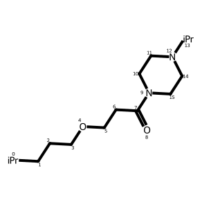 CC(C)CCCOCCC(=O)N1CCN(C(C)C)CC1